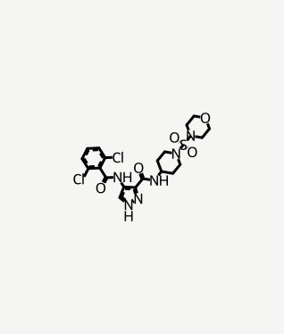 O=C(NC1CCN(S(=O)(=O)N2CCOCC2)CC1)c1n[nH]cc1NC(=O)c1c(Cl)cccc1Cl